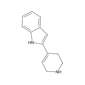 C1=C(c2cc3ccccc3[nH]2)CCNC1